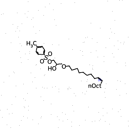 CCCCCCCC/C=C\CCCCCCCCOCC(O)COS(=O)(=O)c1ccc(C)cc1